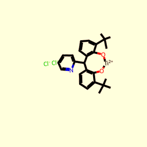 CC(C)(C)c1cccc2c1[O][Ti+2][O]c1c(cccc1C(C)(C)C)C2c1ccccn1.[Cl-].[Cl-]